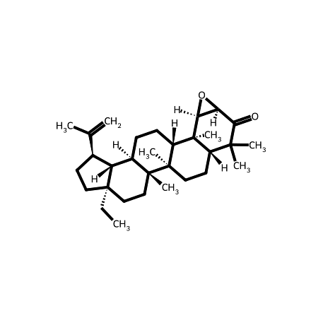 C=C(C)[C@@H]1CC[C@]2(CC)CC[C@]3(C)[C@H](CC[C@@H]4[C@@]5(C)[C@H]6O[C@H]6C(=O)C(C)(C)[C@@H]5CC[C@]43C)[C@@H]12